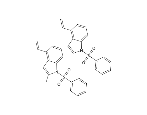 C=Cc1cccc2c1cc(C)n2S(=O)(=O)c1ccccc1.C=Cc1cccc2c1ccn2S(=O)(=O)c1ccccc1